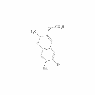 CC(C)(C)c1cc2c(cc1Br)C=C(OC(=O)O)C(C(F)(F)F)O2